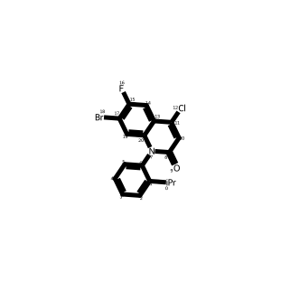 CC(C)c1ccccc1-n1c(=O)cc(Cl)c2cc(F)c(Br)cc21